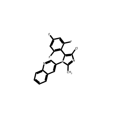 Cc1nc(Cl)c(-c2c(F)cc(F)cc2F)n1-c1cnc2ccccc2c1